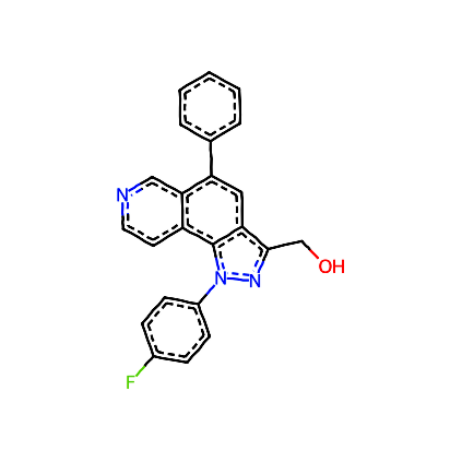 OCc1nn(-c2ccc(F)cc2)c2c1cc(-c1ccccc1)c1cnccc12